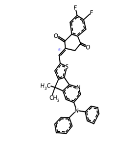 CC1(C)c2cc(N(c3ccccc3)c3ccccc3)cnc2-c2sc(/C=C3\CC(=O)c4cc(F)c(F)cc4C3=O)cc21